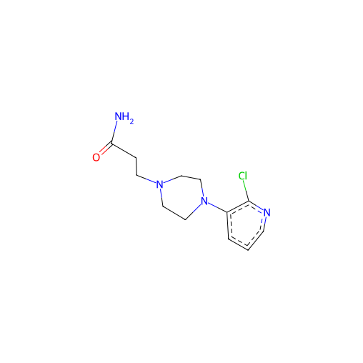 NC(=O)CCN1CCN(c2cccnc2Cl)CC1